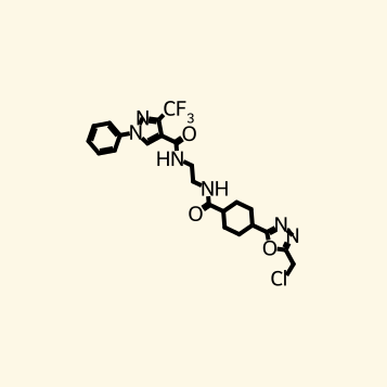 O=C(NCCNC(=O)C1CCC(c2nnc(CCl)o2)CC1)c1cn(-c2ccccc2)nc1C(F)(F)F